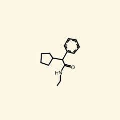 CCNC(=O)C(c1ccccc1)C1CCCC1